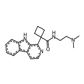 CN(C)CCNC(=O)C1(c2nccc3c2[nH]c2ccccc23)CCC1